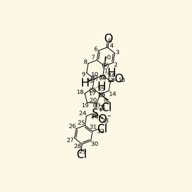 C[C@]12C=CC(=O)C=C1CC[C@@H]1[C@@H]2C(=O)C[C@@]2(C)[C@H]1CC[C@]2(Cl)[S@@+]([O-])Cc1ccc(Cl)cc1Cl